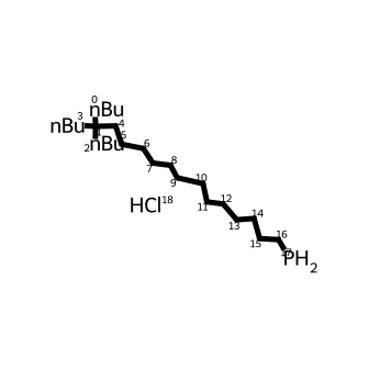 CCCCC(CCCC)(CCCC)CCCCCCCCCCCCCP.Cl